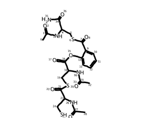 CC(=O)NC(CSC(=O)c1ccccc1OC(=O)C(CSC(=O)C(CS)NC(C)=O)NC(C)=O)C(N)=O